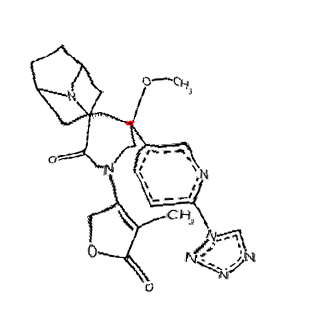 CO[C@@H](CN1C2CCC1CC1(CCN(C3=C(C)C(=O)OC3)C1=O)C2)c1ccc(-n2cnnn2)nc1